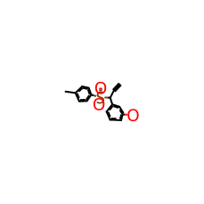 C#CC(c1cccc(OC)c1)S(=O)(=O)c1ccc(C)cc1